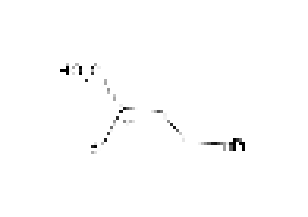 CCCCC[C@H](Br)C(=O)O